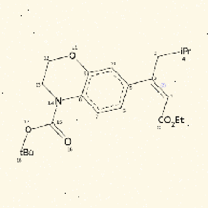 CCOC(=O)/C=C(/CC(C)C)c1ccc2c(c1)OCCN2C(=O)OC(C)(C)C